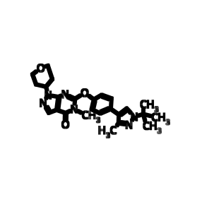 Cc1nn(C(C)(C)C)cc1-c1ccc(Oc2nc3c(cnn3C3CCOCC3)c(=O)n2C)cc1